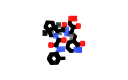 Cc1ccccc1NC(=O)C(=O)N1C[C@@H]2CCC[C@@H]2[C@H]1C(=O)N[C@@H](C[C@@H]1CCCNC1=O)C(=O)CO